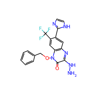 NNc1nc2cc(-c3ncc[nH]3)c(C(F)(F)F)cc2n(OCc2ccccc2)c1=O